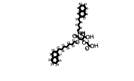 O=C(O)COC(C(=O)O)C(OCCCCCCCc1ccc2ccccc2c1)C(=O)NCCCCCc1ccc2ccccc2c1